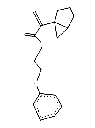 C=C(C(=O)OCCOc1ccccc1)C12CCCC1C2